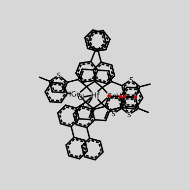 Cc1ccc(C2=Cc3c(-c4ccccc4)cccc3[C]23[GeH]([c]2ccccc2)[C]2(C(c4ccc(C)s4)=Cc4c(-c5ccccc5)cccc42)[Hf]32([Cl])([Cl])[C]3(C(c4ccc(C)s4)=Cc4c(-c5ccccc5)cccc43)[GeH]([c]3ccccc3)[C]23C(c2ccc(C)s2)=Cc2c(-c4ccccc4)cccc23)s1